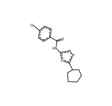 O=C(Nc1nnc(C2CCCCC2)o1)c1ccc(Cl)cc1